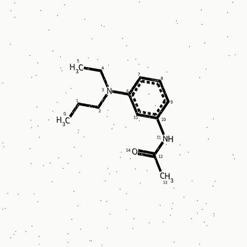 CCCN(CC)c1cccc(NC(C)=O)c1